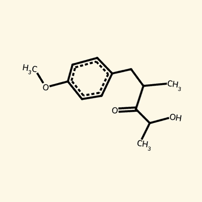 COc1ccc(CC(C)C(=O)C(C)O)cc1